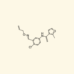 C=CCO/N=C/c1cc(NC(=S)c2ccoc2C)ccc1Cl